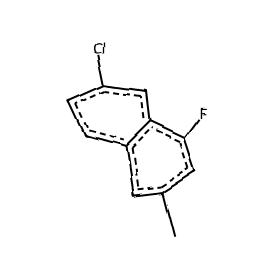 Cc1cc(F)c2cc(Cl)ccc2c1